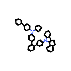 c1ccc(-c2ccc(N(c3ccccc3)c3ccc(-c4ccccc4-c4ccc(-n5c6ccccc6c6ccc7ccccc7c65)cc4)cc3)cc2)cc1